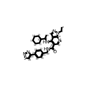 CCn1ncc2c(NC(C)C3CCCCC3)c(C(=O)NCc3ccc(-c4csnn4)cc3)cnc21